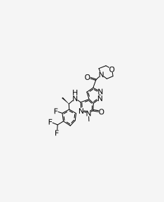 C[C@@H](Nc1nn(C)c(=O)c2nnc(C(=O)N3CCOCC3)cc12)c1cccc(C(F)F)c1F